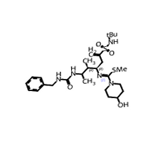 C=C(C[C@@H](/N=C(\SC)N1CCC(O)CC1)[C@H](C)C(C)NC(=O)NCc1ccccc1)S(=O)(=O)NC(C)(C)C